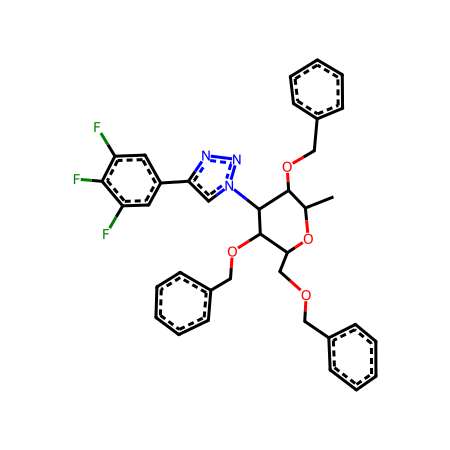 CC1OC(COCc2ccccc2)C(OCc2ccccc2)C(n2cc(-c3cc(F)c(F)c(F)c3)nn2)C1OCc1ccccc1